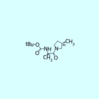 C[C@@H]1CCN(C(=O)[C@@H](C)NC(=O)OC(C)(C)C)C1